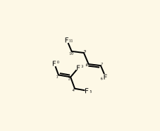 FC=C(F)CF.FC=CCCF